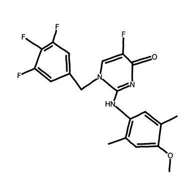 COc1cc(C)c(Nc2nc(=O)c(F)cn2Cc2cc(F)c(F)c(F)c2)cc1C